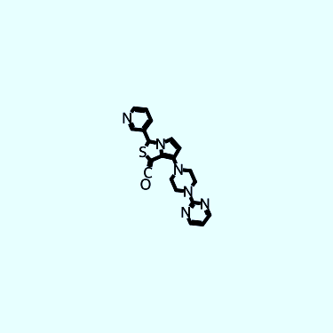 O=C=C1SC(c2cccnc2)n2ccc(N3CCN(c4ncccn4)CC3)c21